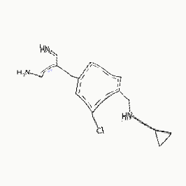 N=C/C(=C\N)c1ccc(CNC2CC2)c(Cl)c1